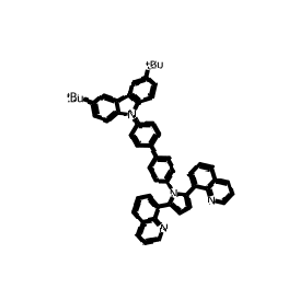 CC(C)(C)c1ccc2c(c1)c1cc(C(C)(C)C)ccc1n2-c1ccc(-c2ccc(-n3c(-c4cccc5cccnc45)ccc3-c3cccc4cccnc34)cc2)cc1